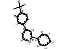 CC(C)(C)c1ccc(-c2ccnc(-c3ccccc3)c2)cc1